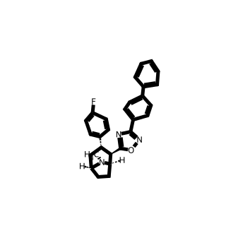 CN1[C@H]2CC[C@@H]1[C@H](c1nc(-c3ccc(-c4ccccc4)cc3)no1)[C@@H](c1ccc(F)cc1)C2